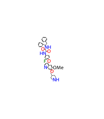 COc1cc2c(Oc3ccc(NC(=O)C(=O)NC(Cc4ccccc4)c4ccccc4)cc3F)ccnc2cc1OCC1CCNCC1